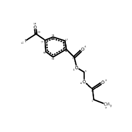 CCC(=O)OCOC(=O)c1ccc(C(=O)I)cc1